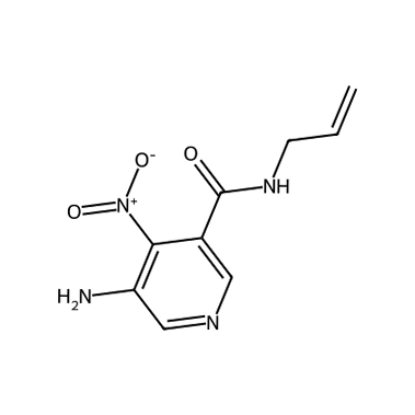 C=CCNC(=O)c1cncc(N)c1[N+](=O)[O-]